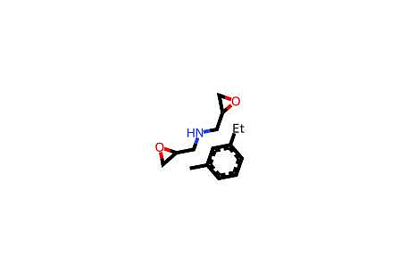 C(NCC1CO1)C1CO1.CCc1cccc(C)c1